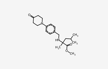 COC(=O)C(C)(CC(C)C)NCc1ccc(N2CCC(=O)CC2)cc1